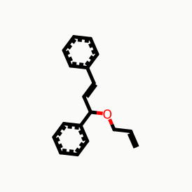 C=CCOC(C=Cc1ccccc1)c1ccccc1